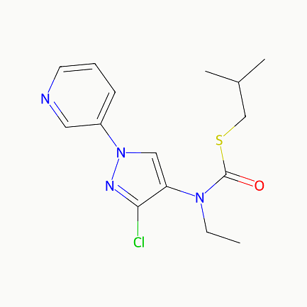 CCN(C(=O)SCC(C)C)c1cn(-c2cccnc2)nc1Cl